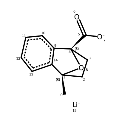 C[C@]12CC[C@](C(=O)[O-])(O1)c1ccccc12.[Li+]